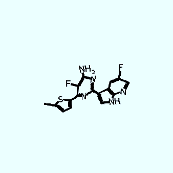 Cc1ccc(-c2nc(-c3c[nH]c4ncc(F)cc34)nc(N)c2F)s1